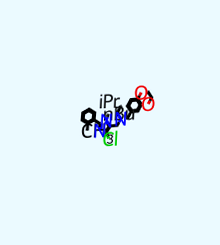 CCCCn1c(-c2ccccc2C)nc(Cl)c1CN(CCC(C)C)Cc1ccc2c(c1)OCCO2